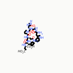 NC(=O)CC[C@H](NC(=O)[C@@H]1CCCN1C(=O)[C@H](Cc1c[nH]cn1)NC(=O)[C@H](CO)NC(=O)[C@@H](N)Cc1c[nH]c2ccccc12)C(=O)N[C@@H](Cc1ccccc1)C(=O)N[C@@H](CCC(=O)O)C(=O)O